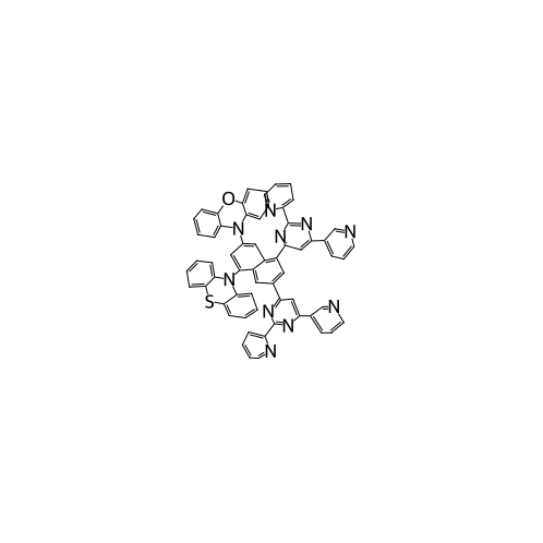 c1ccc(-c2nc(-c3cccnc3)cc(-c3cc(-c4cc(-c5cccnc5)nc(-c5ccccn5)n4)c4cc(N5c6ccccc6Oc6ccccc65)cc(N5c6ccccc6Sc6ccccc65)c4c3)n2)nc1